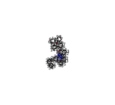 c1ccc(C2(c3ccccc3)c3ccccc3-c3c(-c4ccc(N(c5ccc(-c6cccc7ccccc67)cc5)c5cccc6ccccc56)c5ccccc45)cccc32)cc1